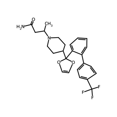 CC(CC(N)=O)N1CCC(C2(c3ccccc3-c3ccc(C(F)(F)F)cc3)OC=CO2)CC1